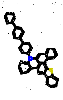 c1ccc(-c2ccc(-c3ccc(N(c4ccc5ccccc5c4)c4ccccc4-c4ccc5sc6ccccc6c5c4)cc3)cc2)cc1